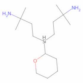 CC(C)(N)CC[SiH](CCC(C)(C)N)C1CCCCO1